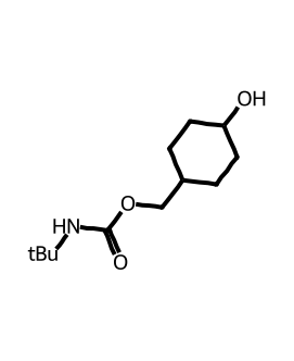 CC(C)(C)NC(=O)OCC1CCC(O)CC1